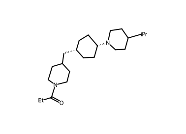 CCC(=O)N1CCC(C[C@H]2CC[C@@H](N3CCC(C(C)C)CC3)CC2)CC1